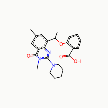 Cc1cc(C(C)Oc2ccccc2C(=O)O)c2nc(N3CCCCC3)n(C)c(=O)c2c1